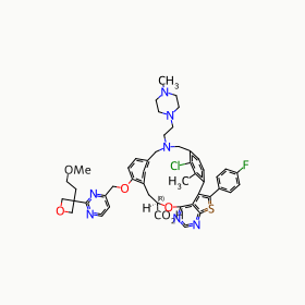 COCCC1(c2nccc(COc3ccc4cc3C[C@H](C(=O)O)Oc3ncnc5sc(-c6ccc(F)cc6)c(c35)-c3ccc(c(Cl)c3C)CN(CCN3CCN(C)CC3)C4)n2)COC1